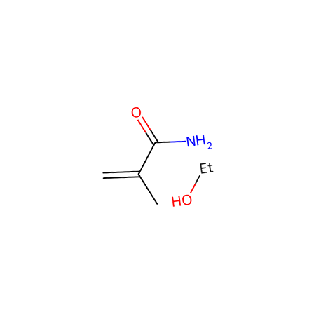 C=C(C)C(N)=O.CCO